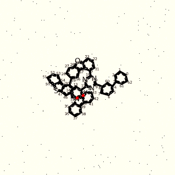 c1ccc(-c2cccc(-c3nc(-c4ccccc4)nc(-c4cccc5oc6ccc(-c7cc(-n8c9ccccc9c9ccccc98)cc8sc9ccccc9c78)cc6c45)n3)c2)cc1